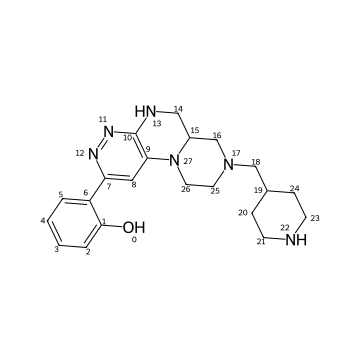 Oc1ccccc1-c1cc2c(nn1)NCC1CN(CC3CCNCC3)CCN21